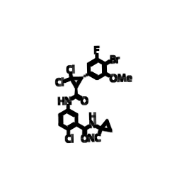 COc1cc([C@@H]2[C@@H](C(=O)Nc3ccc(Cl)c(C(=O)NC4(C#N)CC4)c3)C2(Cl)Cl)cc(F)c1Br